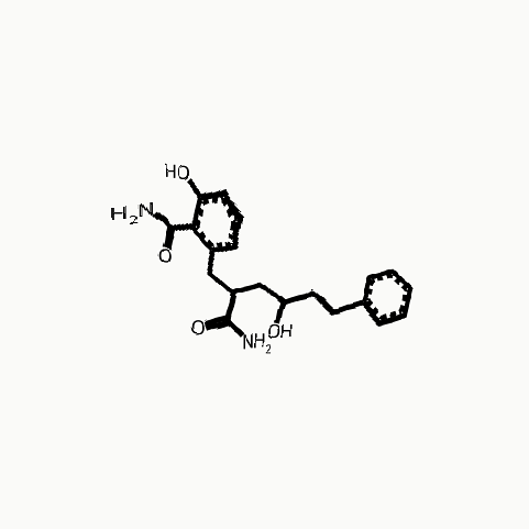 NC(=O)c1c(O)cccc1CC(CC(O)[CH]Cc1ccccc1)C(N)=O